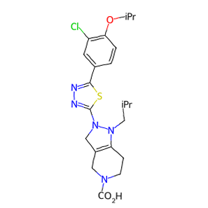 CC(C)CN1C2=C(CN(C(=O)O)CC2)CN1c1nnc(-c2ccc(OC(C)C)c(Cl)c2)s1